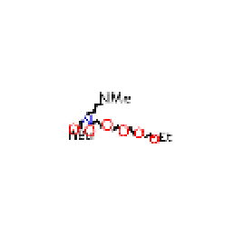 CCCCOCCN(CCCCNC)C(=O)CCOCCOCCOCCOCC